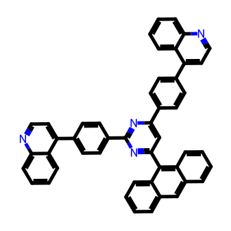 c1ccc2c(-c3cc(-c4ccc(-c5ccnc6ccccc56)cc4)nc(-c4ccc(-c5ccnc6ccccc56)cc4)n3)c3ccccc3cc2c1